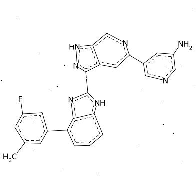 Cc1cc(F)cc(-c2cccc3[nH]c(-c4n[nH]c5cnc(-c6cncc(N)c6)cc45)nc23)c1